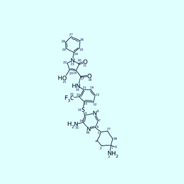 CC1(N)CCC(c2cnc(Sc3cccc(NC(=O)C4=C(O)CN(c5ccccc5)C4=O)c3C(F)(F)F)c(N)n2)CC1